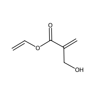 C=COC(=O)C(=C)CO